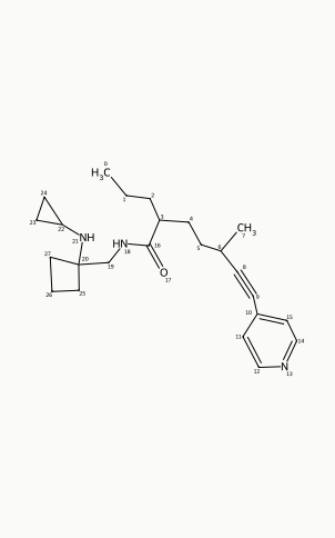 CCCC(CCC(C)C#Cc1ccncc1)C(=O)NCC1(NC2CC2)CCC1